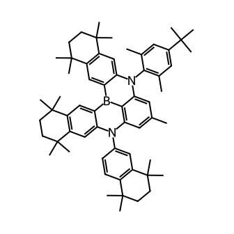 Cc1cc2c3c(c1)N(c1c(C)cc(C(C)(C)C)cc1C)c1cc4c(cc1B3c1cc3c(cc1N2c1ccc2c(c1)C(C)(C)CCC2(C)C)C(C)(C)CCC3(C)C)C(C)(C)CCC4(C)C